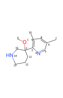 COC1(c2ncc(C)cc2C)CCCNC1